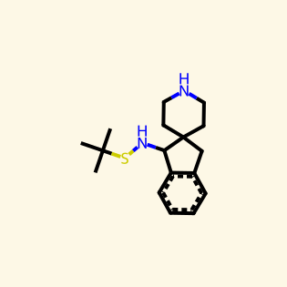 CC(C)(C)SNC1c2ccccc2CC12CCNCC2